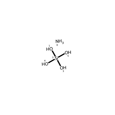 N.O[Si](O)(O)O